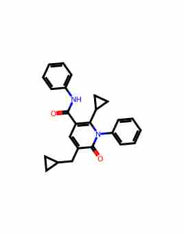 O=C(Nc1ccccc1)c1cc(CC2CC2)c(=O)n(-c2ccccc2)c1C1CC1